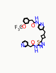 O=C(Cc1cccc(OC(F)(F)F)c1)Nc1ccc(CC2CC(c3nnc(NC(=O)Cc4cccnc4)s3)C2)cn1